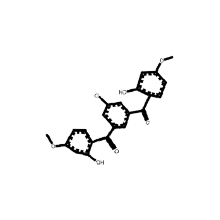 COc1ccc(C(=O)c2cc(Cl)cc(C(=O)c3ccc(OC)cc3O)c2)c(O)c1